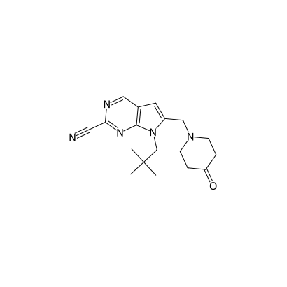 CC(C)(C)Cn1c(CN2CCC(=O)CC2)cc2cnc(C#N)nc21